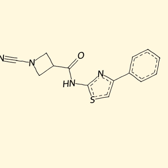 N#CN1CC(C(=O)Nc2nc(-c3ccccc3)cs2)C1